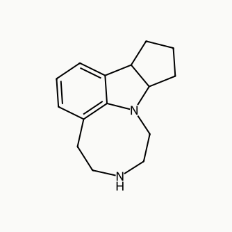 c1cc2c3c(c1)C1CCCC1N3CCNCC2